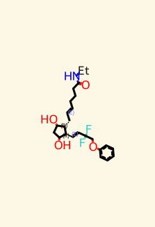 CCNC(=O)CCC/C=C/C[C@H]1C(O)CC(O)[C@@H]1/C=C/C(F)(F)COc1ccccc1